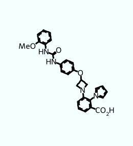 COc1ccccc1NC(=O)Nc1ccc(OC2CN(c3cccc(C(=O)O)c3-n3cccc3)C2)cc1